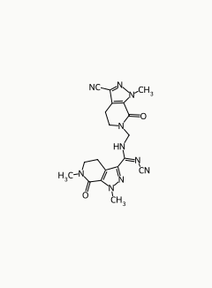 CN1CCc2c(/C(=N\C#N)NCN3CCc4c(C#N)nn(C)c4C3=O)nn(C)c2C1=O